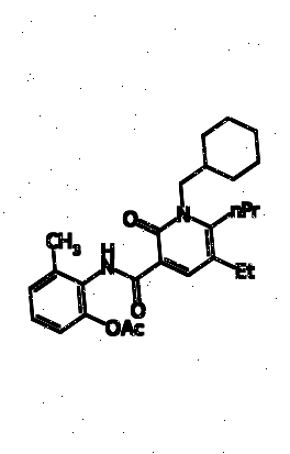 CCCc1c(CC)cc(C(=O)Nc2c(C)cccc2OC(C)=O)c(=O)n1CC1CCCCC1